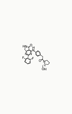 O=C1NCc2nc(-c3c(F)cccc3F)nc(Nc3ccc(CC(=O)N4CCC[C@@H]4CO)cc3)c21